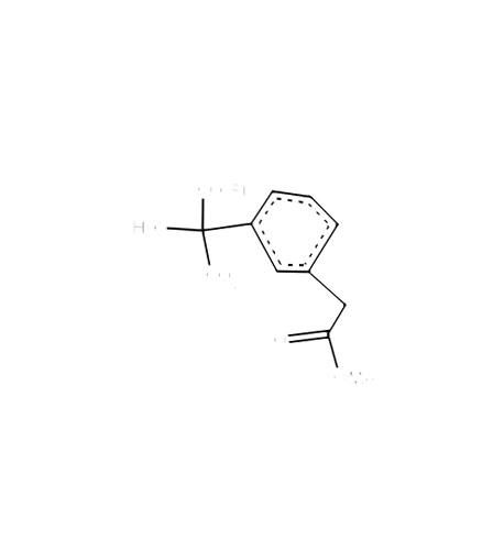 CCOC(=O)C(C)(C(=O)O)c1cccc(CC(=O)OC)c1